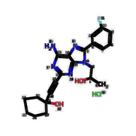 CC(O)Cn1c(-c2cccc(F)c2)nc2c(N)nc(C#CC3(O)CCCCC3)nc21.Cl